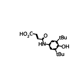 CC(C)(C)c1cc(NC(=O)C=CC(=O)O)cc(C(C)(C)C)c1O